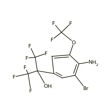 Nc1c(Br)cc(C(O)(C(F)(F)F)C(F)(F)F)cc1OC(F)(F)F